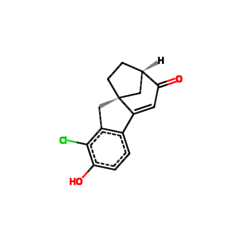 O=C1C=C2c3ccc(O)c(Cl)c3C[C@@]23CC[C@@H]1C3